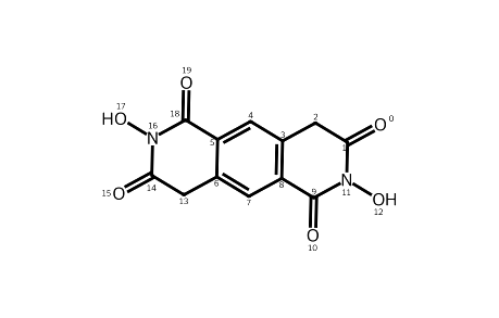 O=C1Cc2cc3c(cc2C(=O)N1O)CC(=O)N(O)C3=O